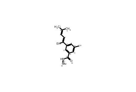 CC/C(=C\C=C(C)C)c1cc(I)cc(C(=O)NC(C)(C)C)c1